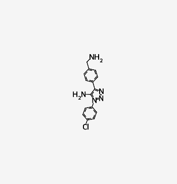 NCc1ccc(-c2nnn(-c3ccc(Cl)cc3)c2N)cc1